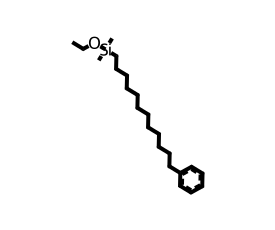 CCO[Si](C)(C)CCCCCCCCCCCCc1ccccc1